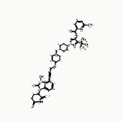 Cn1c(=O)n(C2CCC(=O)NC2=O)c2cccc(C#CCOC3CCN(C[C@H]4CC[C@H](n5cc(NC(=O)c6cccc(C#N)n6)c(C(C)(C)O)n5)CC4)CC3)c21